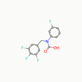 O=C(O)N(Cc1cc(F)c(F)c(F)c1)c1cccc(F)c1